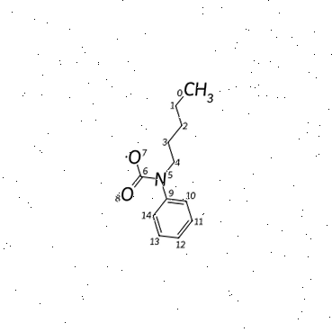 CCCCCN(C([O])=O)c1ccccc1